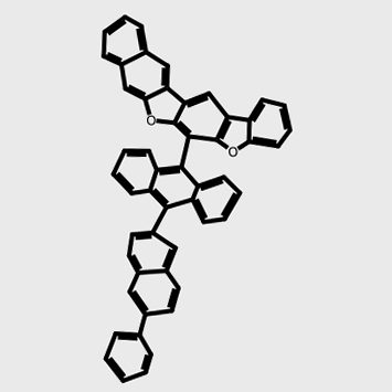 c1ccc(-c2ccc3cc(-c4c5ccccc5c(-c5c6oc7ccccc7c6cc6c5oc5cc7ccccc7cc56)c5ccccc45)ccc3c2)cc1